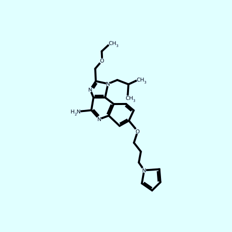 CCOCc1nc2c(N)nc3cc(OCCCn4cccc4)ccc3c2n1CC(C)C